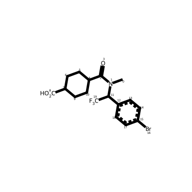 CN(C(=O)C1CCC(C(=O)O)CC1)C(c1ccc(Br)cc1)C(F)(F)F